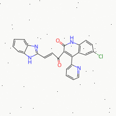 O=C(C=Cc1nc2ccccc2[nH]1)c1c(-c2ccccn2)c2cc(Cl)ccc2[nH]c1=O